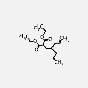 C=CCC(CC=C)CC(C(=O)OCC)C(=O)OCC